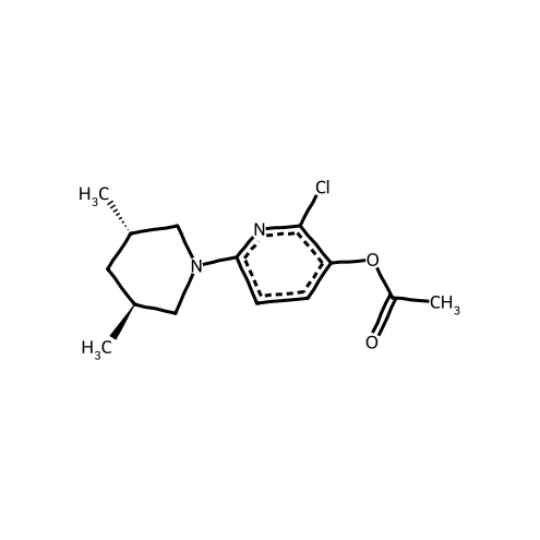 CC(=O)Oc1ccc(N2C[C@@H](C)C[C@H](C)C2)nc1Cl